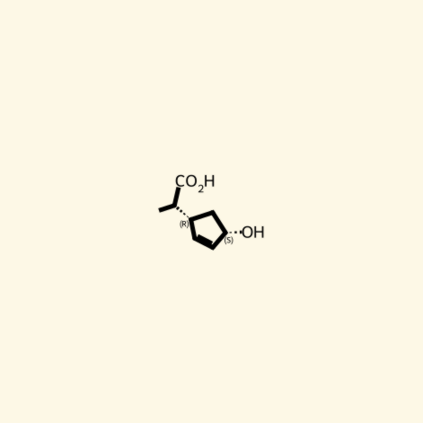 CC(C(=O)O)[C@H]1C=C[C@@H](O)C1